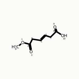 COC(=O)CC=CCC(=O)O